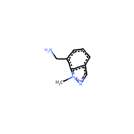 Cn1ncc2cccc(CN)c21